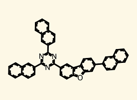 c1ccc2cc(-c3ccc4c(c3)oc3ccc(-c5nc(-c6ccc7ccccc7c6)nc(-c6ccc7ccccc7c6)n5)cc34)ccc2c1